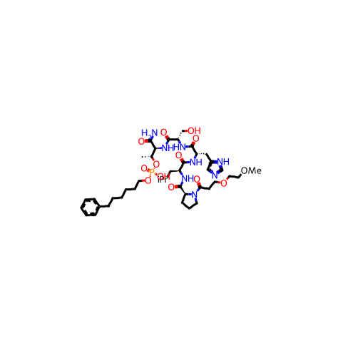 COCCOCCC(=O)N1CCC[C@H]1C(=O)N[C@@H](CC(C)C)C(=O)N[C@@H](Cc1cnc[nH]1)C(=O)N[C@@H](CO)C(=O)N[C@H](C(N)=O)[C@@H](C)OP(=O)(O)OCCCCCCc1ccccc1